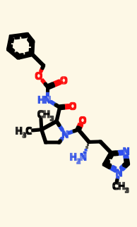 Cn1cnc(C[C@H](N)C(=O)N2CCC(C)(C)C2C(=O)NC(=O)OCc2ccccc2)c1